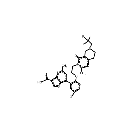 Cc1cc(-c2cc(Cl)ccc2OCCn2c(C)nc3c(c2=O)CN(CC(F)(F)F)CC3)c2scc(C(=O)O)c2n1